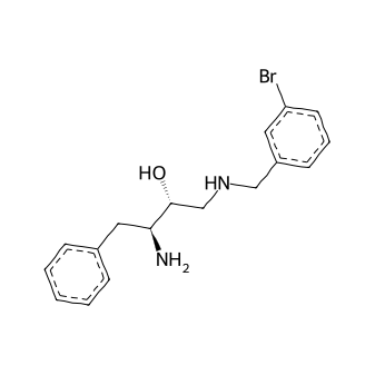 N[C@@H](Cc1ccccc1)[C@H](O)CNCc1cccc(Br)c1